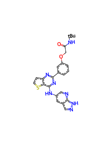 CC(C)(C)NC(=O)COc1cccc(-c2nc(Nc3cnc4[nH]ncc4c3)c3sccc3n2)c1